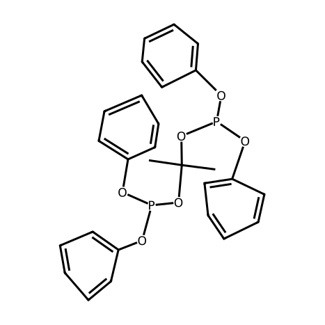 CC(C)(OP(Oc1ccccc1)Oc1ccccc1)OP(Oc1ccccc1)Oc1ccccc1